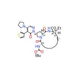 CCOC(=O)[C@@]12C[C@H]1/C=C\CCCCC[C@H](NC(=O)OC(C)(C)C)C(=O)N1C[C@H](n3ncc(N4CCCC4)c(-c4ccsc4)c3=O)C[C@H]1C(=O)N2